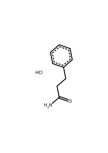 Cl.NC(=O)CCc1ccccc1